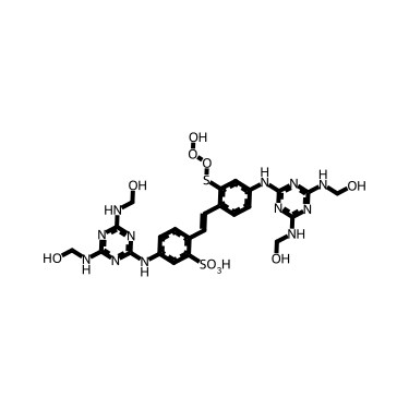 O=S(=O)(O)c1cc(Nc2nc(NCO)nc(NCO)n2)ccc1/C=C/c1ccc(Nc2nc(NCO)nc(NCO)n2)cc1SOOO